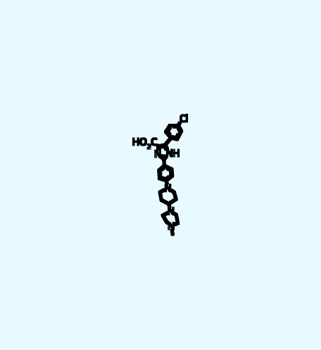 CN1CCN(C2CCN(c3ccc(-c4nc(C(=O)O)c(-c5ccc(Cl)cc5)[nH]4)cc3)CC2)CC1